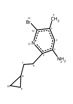 Cc1cc(N)c(CCC2CC2)nc1Br